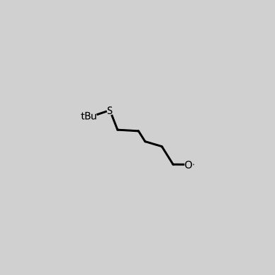 CC(C)(C)SCCCCC[O]